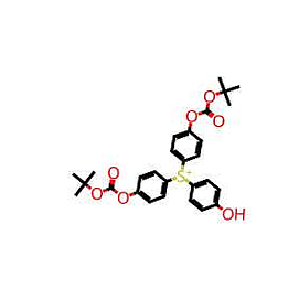 CC(C)(C)OC(=O)Oc1ccc([S+](c2ccc(O)cc2)c2ccc(OC(=O)OC(C)(C)C)cc2)cc1